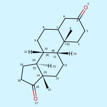 C[C@]12CCC(=O)CC1CC[C@@H]1[C@H]2CC[C@]2(C)C(=O)CC[C@@H]12